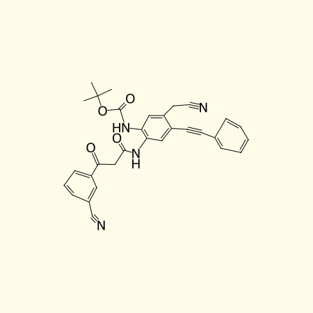 CC(C)(C)OC(=O)Nc1cc(CC#N)c(C#Cc2ccccc2)cc1NC(=O)CC(=O)c1cccc(C#N)c1